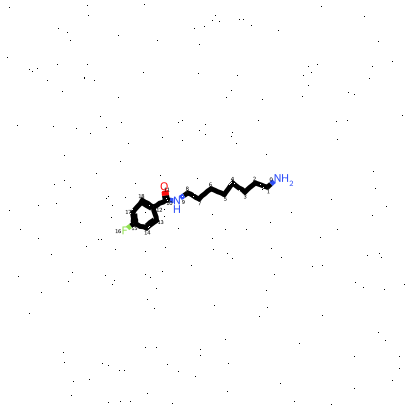 NCCCCCCCCNC(=O)c1ccc(F)cc1